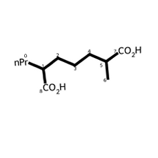 CCCC(CCCC(C)C(=O)O)C(=O)O